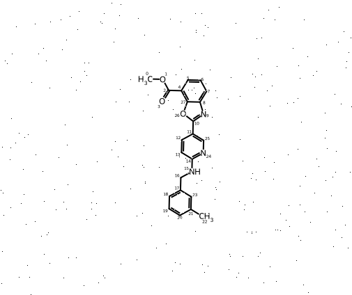 COC(=O)c1cccc2nc(-c3ccc(NCc4cccc(C)c4)nc3)oc12